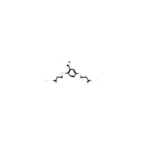 COC(=O)c1cc(NC(=O)CC(C)=O)ccc1NC(=O)CC(C)=O